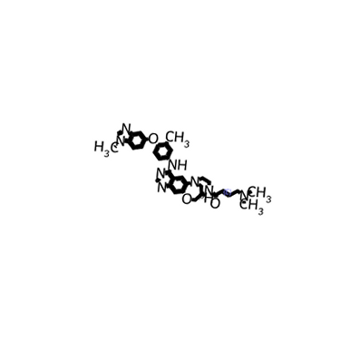 Cc1cc(Nc2ncnc3cc4c(cc23)N2CCN(C(=O)/C=C/CN(C)C)[C@H](CO4)C2)ccc1Oc1ccc2c(c1)ncn2C